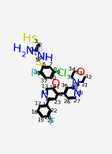 N/C(=C\S)NSc1cc(Cl)c(Oc2cnc(-c3cccc(F)c3)cc2-c2ccnc(N3CCOCC3)c2)cc1F